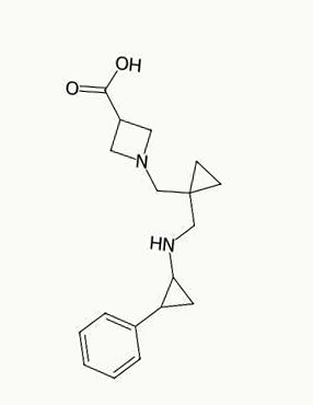 O=C(O)C1CN(CC2(CNC3CC3c3ccccc3)CC2)C1